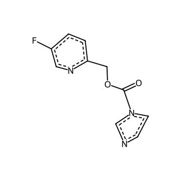 O=C(OCc1ccc(F)cn1)n1ccnc1